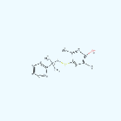 CC(C)c1cc(SC[Si](C)(C)c2ccccc2)c(C(C)C)cc1O